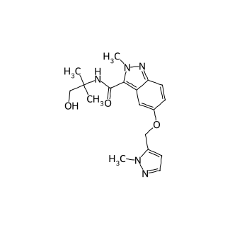 Cn1nccc1COc1ccc2nn(C)c(C(=O)NC(C)(C)CO)c2c1